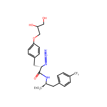 CCOC(=O)[C@H](Cc1ccc(C(F)(F)F)cc1)NC(=O)[C@H](Cc1ccc(OCC(O)CO)cc1)N=[N+]=[N-]